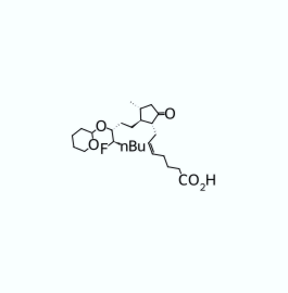 CCCC[C@@H](F)[C@@H](CC[C@H]1[C@H](C)CC(=O)[C@@H]1C/C=C\CCCC(=O)O)OC1CCCCO1